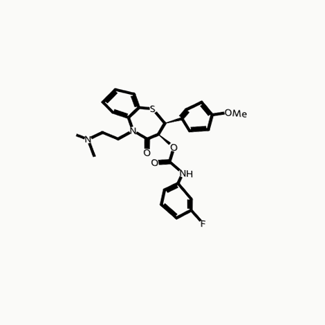 COc1ccc([C@@H]2Sc3ccccc3N(CCN(C)C)C(=O)[C@@H]2OC(=O)Nc2cccc(F)c2)cc1